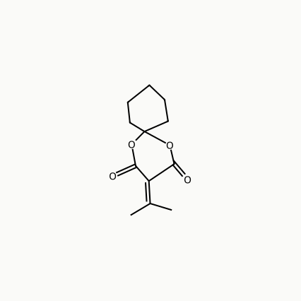 CC(C)=C1C(=O)OC2(CCCCC2)OC1=O